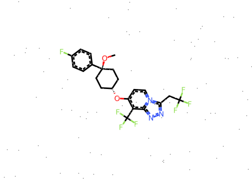 CO[C@]1(c2ccc(F)cc2)CC[C@@H](Oc2ccn3c(CC(F)(F)F)nnc3c2C(F)(F)F)CC1